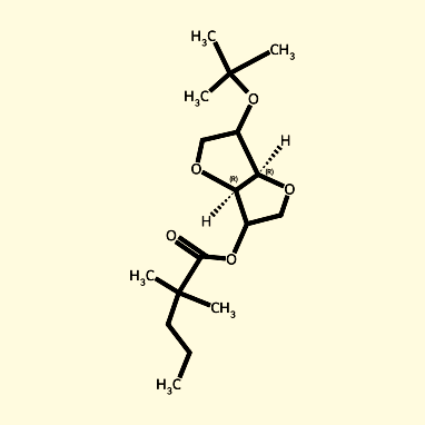 CCCC(C)(C)C(=O)OC1CO[C@@H]2C(OC(C)(C)C)CO[C@H]12